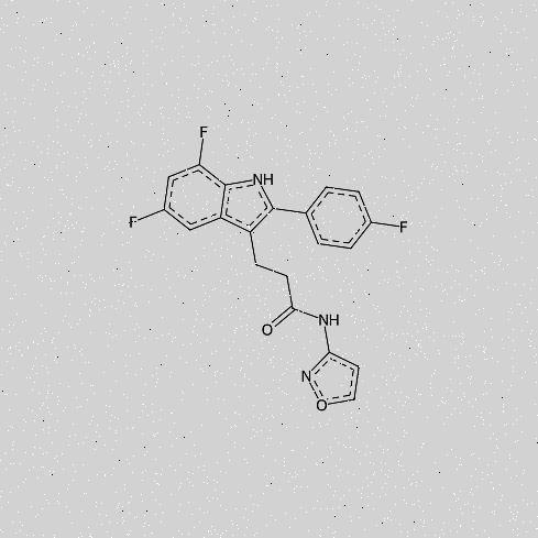 O=C(CCc1c(-c2ccc(F)cc2)[nH]c2c(F)cc(F)cc12)Nc1ccon1